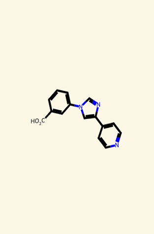 O=C(O)c1cccc(-n2cnc(-c3ccncc3)c2)c1